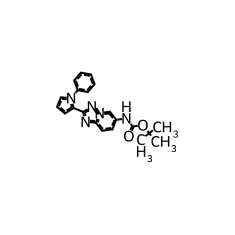 CC(C)(C)OC(=O)Nc1ccc2nc(-c3cccn3-c3ccccc3)nn2c1